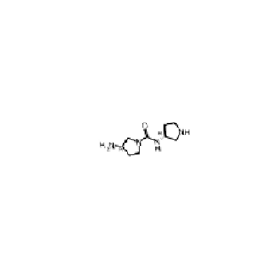 N[C@@H]1CCN(C(=O)N[C@@H]2CCNC2)C1